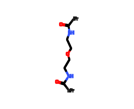 CCCC(=O)NCCOCCNC(=O)C(C)C